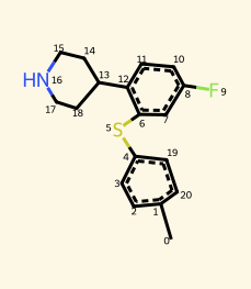 Cc1ccc(Sc2cc(F)ccc2C2CCNCC2)cc1